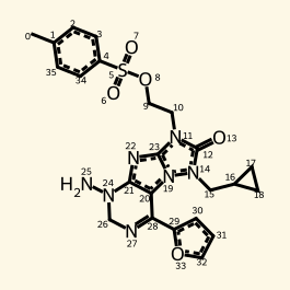 Cc1ccc(S(=O)(=O)OCCn2c(=O)n(CC3CC3)n3c4c(nc23)N(N)CN=C4c2ccco2)cc1